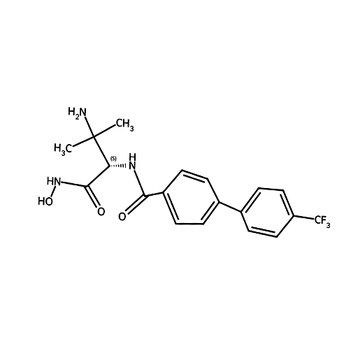 CC(C)(N)[C@H](NC(=O)c1ccc(-c2ccc(C(F)(F)F)cc2)cc1)C(=O)NO